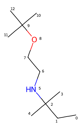 CCC(C)(C)NCCOC(C)(C)C